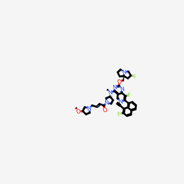 C#Cc1c(F)ccc2cccc(-c3ncc4c(N(C)[C@@H]5CCN(C(=O)/C=C/CN6CC[C@@H](OC)C6)C5)nc(OC[C@@]56CCCN5C[C@H](F)C6)nc4c3F)c12